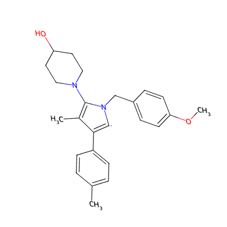 COc1ccc(Cn2[c]c(-c3ccc(C)cc3)c(C)c2N2CCC(O)CC2)cc1